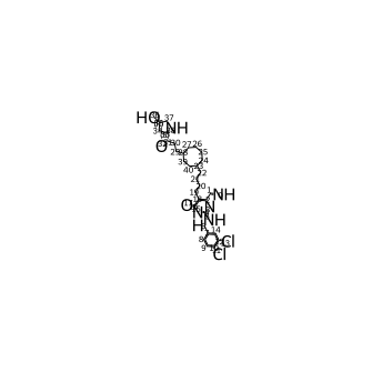 N=Cc1nc(NCc2ccc(Cl)c(Cl)c2)[nH]c(=O)c1CCCCC1CCCCC(CCC(=O)[C@@H]2C[C@@H](O)CN2)CC1